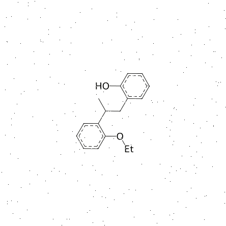 CCOc1ccccc1C(C)Cc1ccccc1O